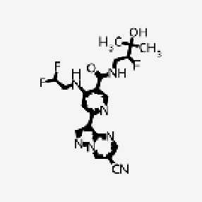 CC(C)(O)C(F)CNC(=O)c1cnc(-c2cnn3cc(C#N)cnc23)cc1NCC(F)F